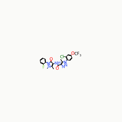 Cc1c(C(=O)Nc2c(C)n(C)n(-c3ccccc3F)c2=O)nnn1-c1ccc(OC(F)(F)F)cc1Cl